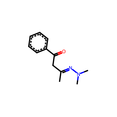 CC(CC(=O)c1ccccc1)=NN(C)C